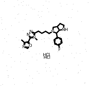 Cc1ncoc1-c1nnc(CCCCN2CC3CCNC3C2c2ccc(F)cc2)n1C.Cl.Cl